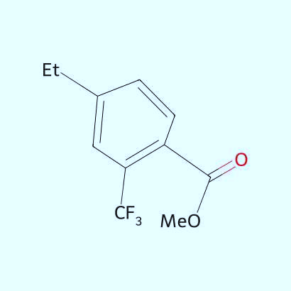 CCc1ccc(C(=O)OC)c(C(F)(F)F)c1